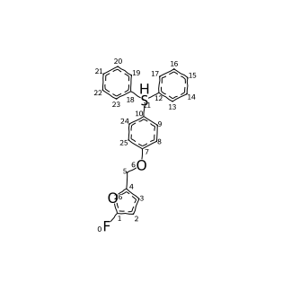 Fc1ccc(COc2ccc([SH](c3ccccc3)c3ccccc3)cc2)o1